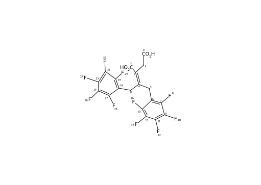 O=C(O)CC(C(=O)O)=C(Cc1c(F)c(F)c(F)c(F)c1F)Cc1c(F)c(F)c(F)c(F)c1F